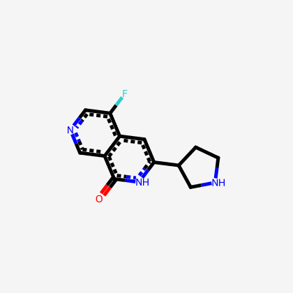 O=c1[nH]c(C2CCNC2)cc2c(F)cncc12